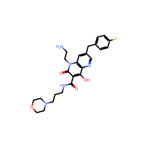 NCCn1c(=O)c(C(=O)NCCCN2CCOCC2)c(O)c2ncc(Cc3ccc(F)cc3)cc21